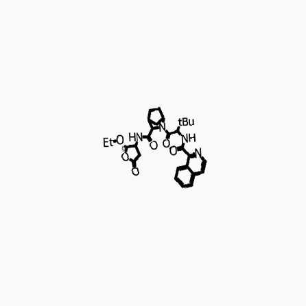 CCO[C@H]1OC(=O)CC1NC(=O)C1C2CCC(C2)N1C(=O)C(NC(=O)c1nccc2ccccc12)C(C)(C)C